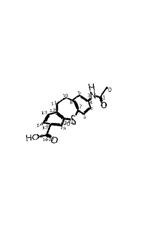 CC(=O)Nc1ccc2c(c1)CCc1ccc(C(=O)O)cc1S2